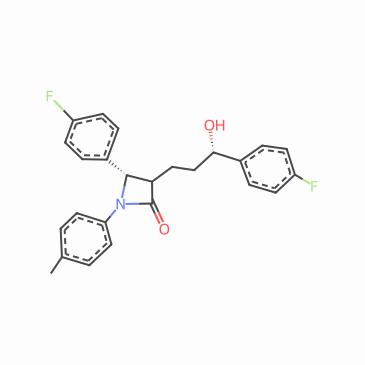 Cc1ccc(N2C(=O)C(CC[C@H](O)c3ccc(F)cc3)[C@H]2c2ccc(F)cc2)cc1